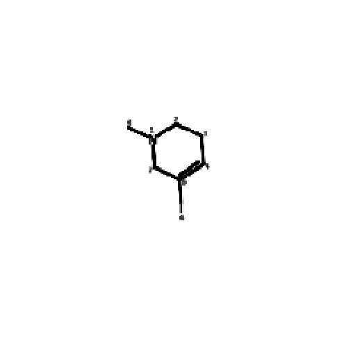 CN1CCC=C(I)C1